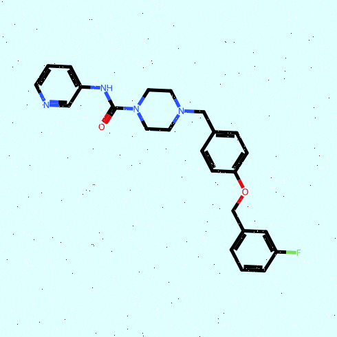 O=C(Nc1cccnc1)N1CCN(Cc2ccc(OCc3cccc(F)c3)cc2)CC1